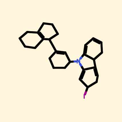 IC1C=C2C(=CC1)C1CC=CC=C1N2C1C=C(C2CCCC3=C2CCCC3)CCC1